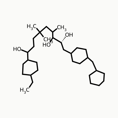 CCC1CCC(C(O)CCC(C)(C)CC(C)C(O)[C@H](O)CC2CCC(CC3CCCCC3)CC2)CC1